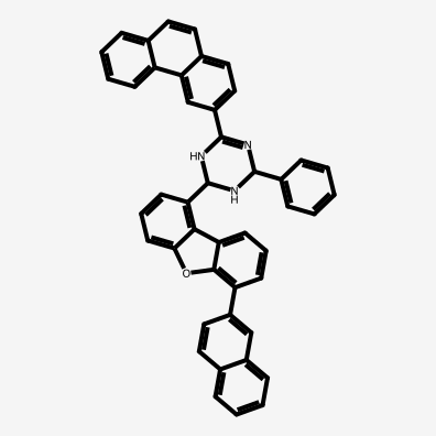 c1ccc(C2N=C(c3ccc4ccc5ccccc5c4c3)NC(c3cccc4oc5c(-c6ccc7ccccc7c6)cccc5c34)N2)cc1